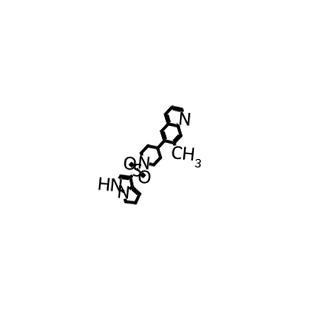 Cc1cc2ncccc2cc1C1CCN(S(=O)(=O)C2=CNN3CCC=C23)CC1